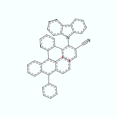 N#Cc1cccc(-c2ccccc2-c2c3ccccc3c(-c3ccccc3)c3ccccc23)c1-n1c2ccccc2c2ccccc21